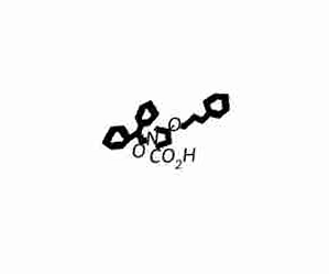 O=C(O)[C@H]1C[C@@H](OCCCc2ccccc2)CN1C(=O)C(c1ccccc1)c1ccccc1